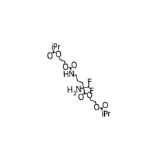 CC(C)C(=O)OCCOC(=O)NCCCC(N)(C(=O)OCCOC(=O)C(C)C)C(F)F